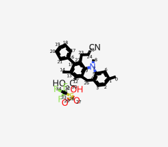 Cc1ccc2c(c1)N(C)c1c(c(C(=O)O)c(C)c(-c3ccccc3)c1CCC#N)C2.O=S(=O)(O)C(F)(F)F